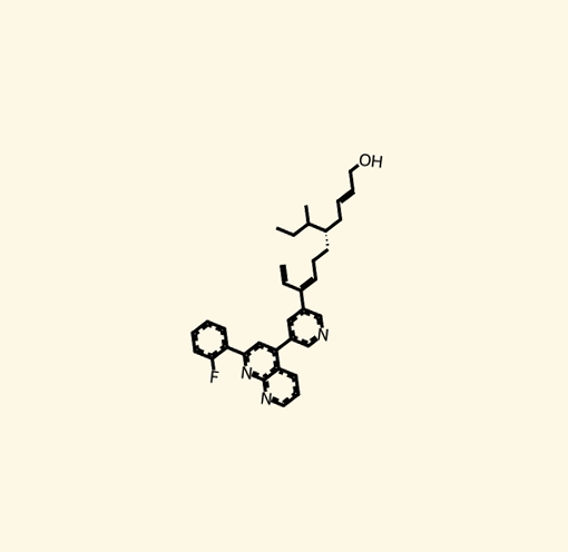 C=C/C(=C\CC[C@@H](C/C=C/CO)C(C)CC)c1cncc(-c2cc(-c3ccccc3F)nc3ncccc23)c1